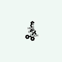 O=C(Cc1cccs1)NC1C(=O)N2C(C(=O)OC(c3ccccc3)c3ccccc3)C(CO)=CS[C@H]12